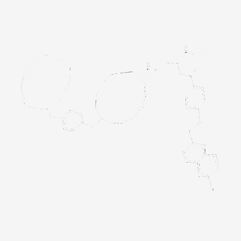 COC(=O)C(COC(=O)N1CCCNCCN(Cc2ccc(CN3CCCNCCNCCCNCC3)cc2)CCCNCC1)NC(=O)c1ccc(NCc2cnc3nc(N)ncc3n2)cc1